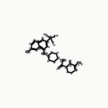 CC1=NCC[C@@H](C(=O)N[C@H]2CC[C@@H](Nc3cc(C(F)(F)F)nc4ccc(Cl)cc34)CC2)N1